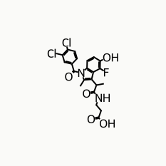 Cc1c(C(C)C(=O)NCCC(=O)O)c2c(F)c(O)ccc2n1C(=O)c1ccc(Cl)c(Cl)c1